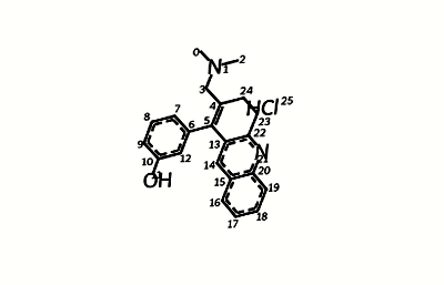 CN(C)CC1=C(c2cccc(O)c2)c2cc3ccccc3nc2CC1.Cl